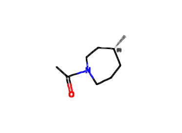 CC(=O)N1CCC[C@@H](C)CC1